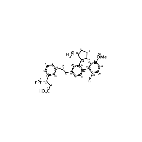 CCC[C@@H](CC(=O)O)c1cccc(OCc2ccc(-c3cc(OC)ccc3F)c([C@@H]3CCC[C@H]3C)c2)c1